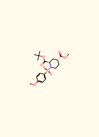 COC(=O)[C@@H]1CCN(S(=O)(=O)c2ccc(OC)cc2)[C@@H](C(=O)OC(C)(C)C)C1